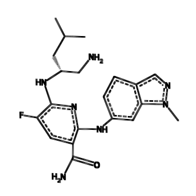 CC(C)C[C@H](CN)Nc1nc(Nc2ccc3cnn(C)c3c2)c(C(N)=O)cc1F